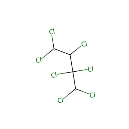 Cl[C](Cl)C(Cl)C(Cl)(Cl)[C](Cl)Cl